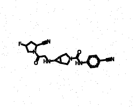 N#Cc1ccc(NC(=O)N2CC3C(C2)C3NCC(=O)N2CC(F)CC2C#N)cc1